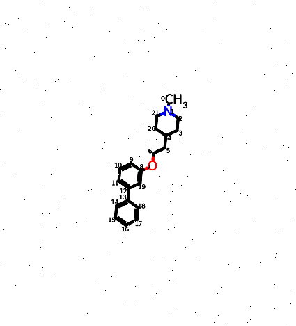 CN1CCC(CCOc2cccc(-c3cc[c]cc3)c2)CC1